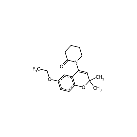 CC1(C)C=C(N2CCCCC2=O)c2cc(OCC(F)(F)F)ccc2O1